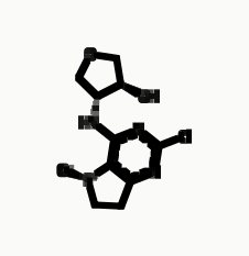 [O-][S@+]1CCc2nc(Cl)nc(N[C@@H]3COC[C@H]3O)c21